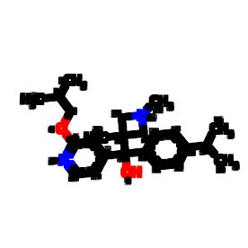 CC(C)COc1cc(C(O)(c2ccc(C(C)C)cc2)C2(C)CN(C)C2)ccn1